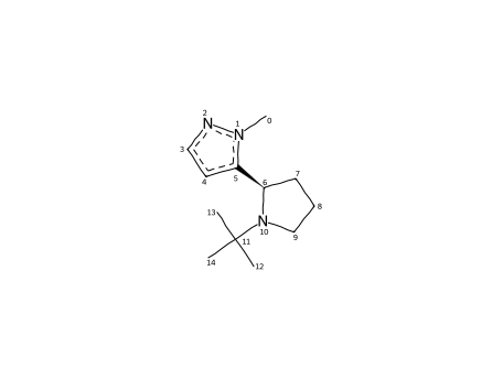 Cn1nccc1[C@H]1CCCN1C(C)(C)C